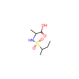 CCC(C)S(=O)(=O)NC(C)C(=O)O